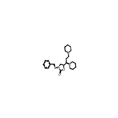 O=C1OC(C(CCN2CCCCC2)N2CCCCC2)CN1N=Cc1ccccc1